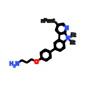 CCCCCc1cnc2c(c1)-c1cc(-c3ccc(OCCCN)cc3)ccc1[N+]2(CC)CC